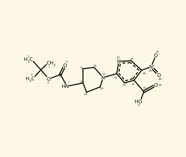 CC(C)(C)OC(=O)NC1CCN(c2cc(C(=O)O)c([N+](=O)[O-])cn2)CC1